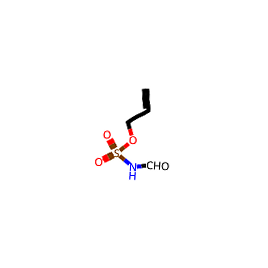 C=CCOS(=O)(=O)NC=O